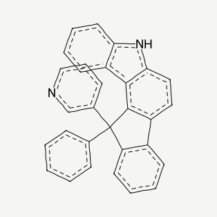 c1ccc(C2(c3cccnc3)c3ccccc3-c3ccc4[nH]c5ccccc5c4c32)cc1